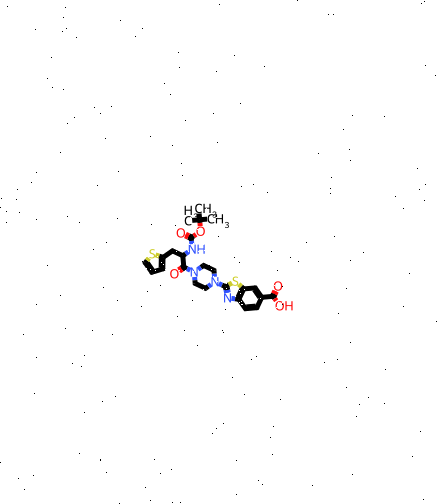 CC(C)(C)OC(=O)NC(Cc1cccs1)C(=O)N1CCN(c2nc3ccc(C(=O)O)cc3s2)CC1